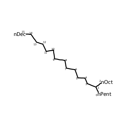 [CH2]CCCCC(CCCCCCCC)CCCCCCCCCCCCCCCCCCCCCC